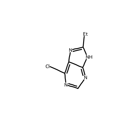 CCc1nc2c(Cl)ncnc2[nH]1